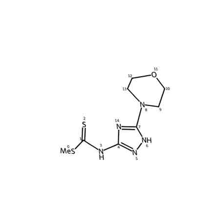 CSC(=S)Nc1n[nH]c(N2CCOCC2)n1